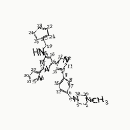 CN1CCN(Cc2ccc(-c3cncc(-c4cc(NCc5ccccc5)nc(-c5ccccn5)n4)c3)cc2)CC1